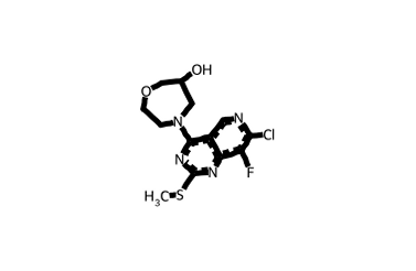 CSc1nc(N2CCOCC(O)C2)c2cnc(Cl)c(F)c2n1